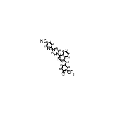 N#Cc1ccc(N2CCN(c3nnc(Cc4ccc(Cl)c(C(F)(F)F)c4)c4ccccc34)CC2)nc1